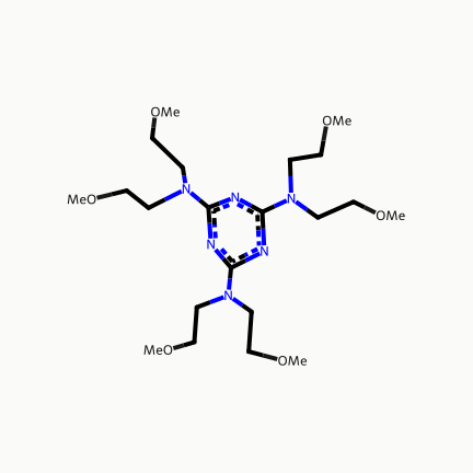 COCCN(CCOC)c1nc(N(CCOC)CCOC)nc(N(CCOC)CCOC)n1